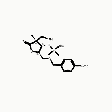 COc1ccc(COC[C@H]2OC(=O)[C@](C)(CO)[C@@H]2O[Si](C)(C)C(C)(C)C)cc1